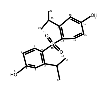 CC(C)c1cc(O)ccc1S(=O)(=O)c1ccc(O)cc1C(C)C